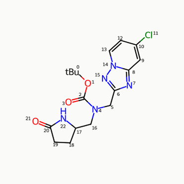 CC(C)(C)OC(=O)N(Cc1nc2cc(Cl)ccn2n1)CC1CCC(=O)N1